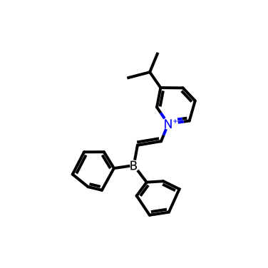 CC(C)c1ccc[n+](C=CB(c2ccccc2)c2ccccc2)c1